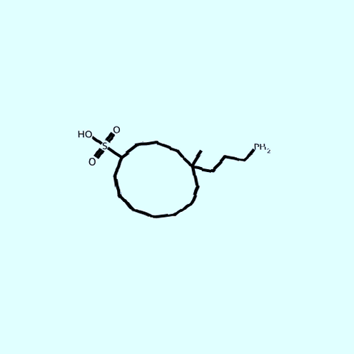 CC1(CCCP)CCCCCCCC(S(=O)(=O)O)CCC1